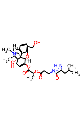 Cc1ccc(CO)c2c1[C@]13CCN(C)[C@H](C)[C@]1(O)CC=C(OC(=O)[C@H](C)OC(=O)CCNC(=O)[C@@H](N)CC(C)C)[C@@H]3O2